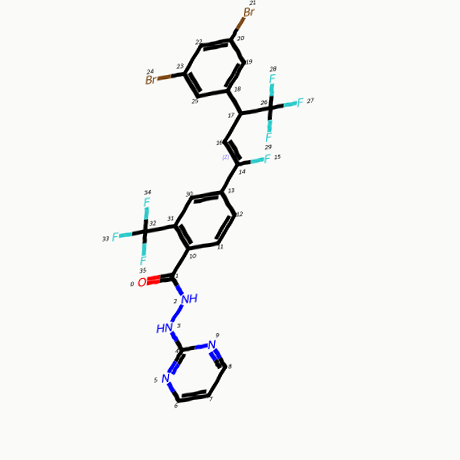 O=C(NNc1ncccn1)c1ccc(/C(F)=C/C(c2cc(Br)cc(Br)c2)C(F)(F)F)cc1C(F)(F)F